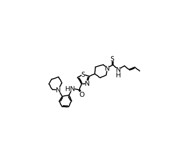 C/C=C/CNC(=S)N1CCC(c2nc(C(=O)Nc3ccccc3N3CCCCC3)cs2)CC1